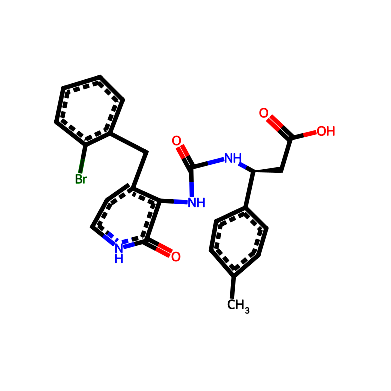 Cc1ccc([C@H](CC(=O)O)NC(=O)Nc2c(Cc3ccccc3Br)cc[nH]c2=O)cc1